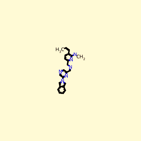 C=Nc1nc(C/N=C\c2cncc(-n3cc4ccccc4c3)n2)ccc1/C=C\C